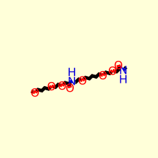 CNC(=O)COCCOCCCCCOCCNC(=O)COCCOCCCCOC